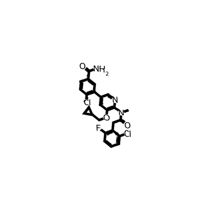 CN(C(=O)Cc1c(F)cccc1Cl)c1ncc(-c2cc(C(N)=O)ccc2Cl)cc1OCC1CC1